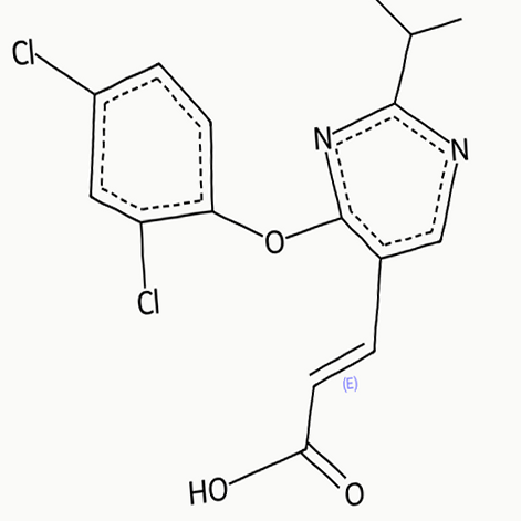 CC(C)c1ncc(/C=C/C(=O)O)c(Oc2ccc(Cl)cc2Cl)n1